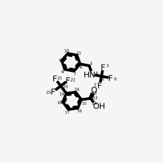 FC(F)(F)NCc1ccccc1.O=C(O)c1cccc(C(F)(F)F)c1